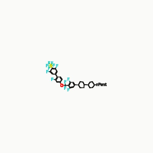 CCCCCC1CCC(C2CCC(c3cc(F)c(C(F)(F)Oc4ccc(-c5cc(F)c(S(F)(F)(F)(F)F)c(F)c5)c(F)c4)c(F)c3)CC2)CC1